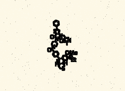 CCOc1cc2c(cc1OC)C(c1ccc(C(=O)N3CCC(n4c(=O)c5sc(-c6ccccc6)cc5n(Cc5cnc(C)s5)c4=O)CC3)cc1)=N[C@@H]1CCSC[C@H]21